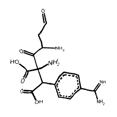 N=C(N)c1ccc(C(C(=O)O)C(N)(C(=O)O)C(=O)C(N)CC=O)cc1